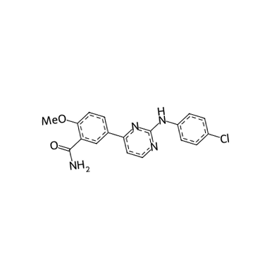 COc1ccc(-c2ccnc(Nc3ccc(Cl)cc3)n2)cc1C(N)=O